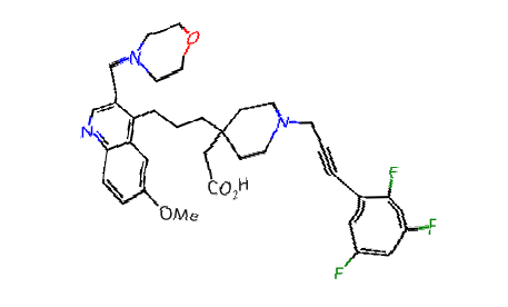 COc1ccc2ncc(CN3CCOCC3)c(CCCC3(CC(=O)O)CCN(CC#Cc4cc(F)cc(F)c4F)CC3)c2c1